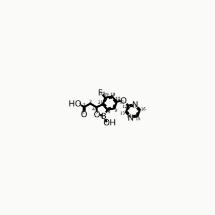 O=C(O)CC1OB(O)c2cc(Oc3cnccn3)cc(F)c21